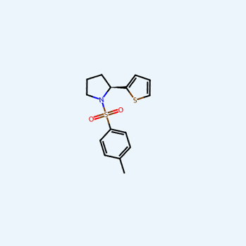 Cc1ccc(S(=O)(=O)N2CCC[C@H]2c2cccs2)cc1